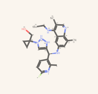 Cc1nc(F)ccc1[C@H](Nc1cc(C#N)c2ncc(C#N)c(NCC(C)(C)C)c2c1)C1=CN(C2(CO)CC2)NN1